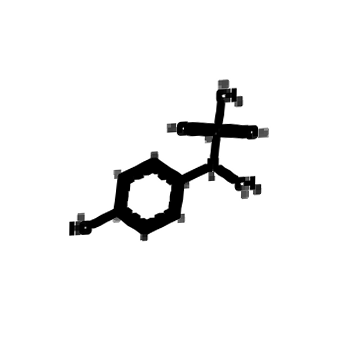 CN(c1ccc(O)cc1)S(C)(=O)=O